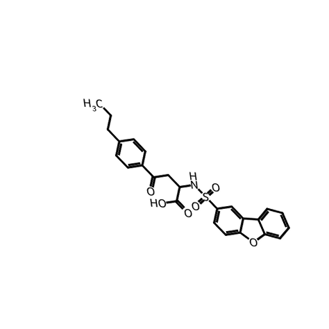 CCCc1ccc(C(=O)CC(NS(=O)(=O)c2ccc3oc4ccccc4c3c2)C(=O)O)cc1